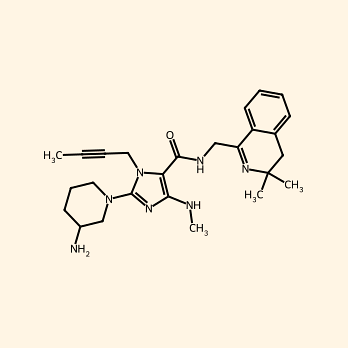 CC#CCn1c(N2CCCC(N)C2)nc(NC)c1C(=O)NCC1=NC(C)(C)Cc2ccccc21